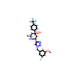 COc1cc(F)cc(Cn2cc([C@@H]3CC(O)(c4ccc(C(F)(F)F)cc4)C[C@H](C)N3)nn2)c1